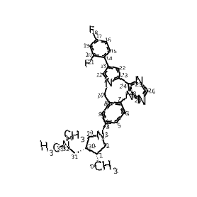 C[C@H]1CN(c2ccc3c(c2)Cn2cc(-c4ccc(F)cc4F)cc2-c2ncnn2-3)C[C@H]1CN(C)C